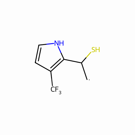 [CH2]C(S)c1[nH]ccc1C(F)(F)F